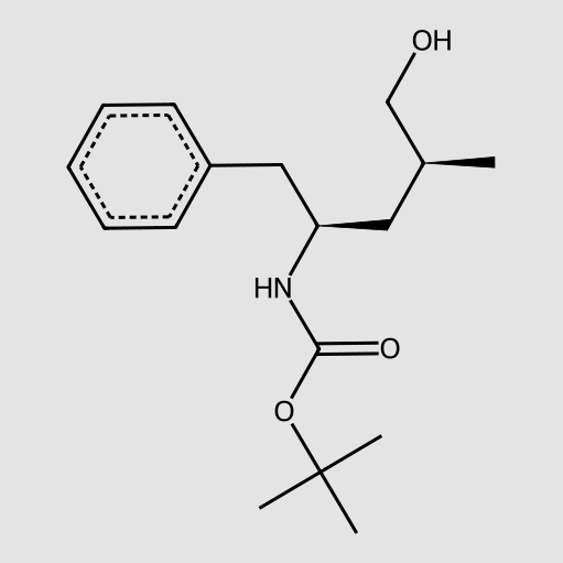 C[C@H](CO)C[C@H](Cc1ccccc1)NC(=O)OC(C)(C)C